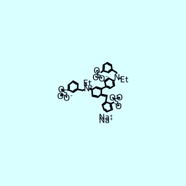 CCN(Cc1cccc(S(=O)(=O)[O-])c1)c1ccc(C2=CC(=[N+](CC)Cc3cccc(S(=O)(=O)[O-])c3)C=CC2=Cc2ccccc2S(=O)(=O)[O-])cc1.[Na+].[Na+]